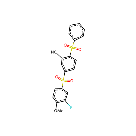 COc1ccc(S(=O)(=O)c2ccc(S(=O)(=O)c3ccccc3)c(C#N)c2)cc1F